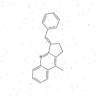 Cc1c2c(nc3ccccc13)/C(=C/c1ccccc1)CC2